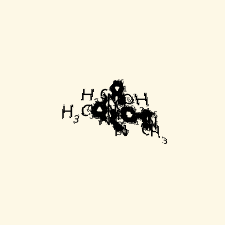 Cc1cc([C@@H](C)Nc2ccccc2C(=O)O)c2nc(N3CCC(c4ccnn4C)CC3)c(C#N)nc2c1